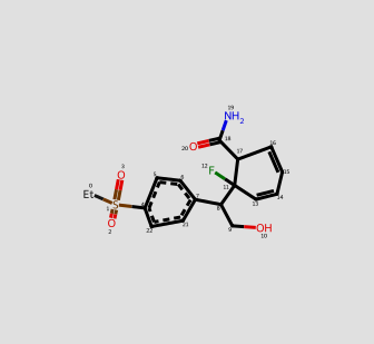 CCS(=O)(=O)c1ccc(C(CO)C2(F)C=CC=CC2C(N)=O)cc1